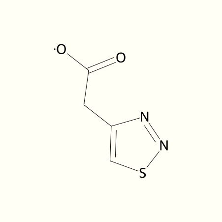 [O]C(=O)Cc1csnn1